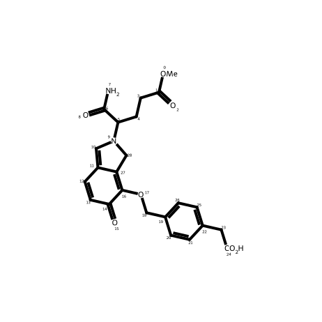 COC(=O)CCC(C(N)=O)N1C=C2C=CC(=O)C(OCc3ccc(CC(=O)O)cc3)=C2C1